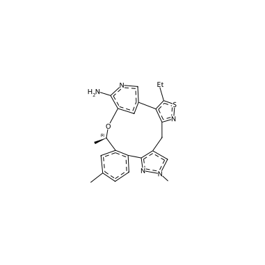 CCc1snc2c1-c1cnc(N)c(c1)O[C@H](C)c1cc(C)ccc1-c1nn(C)cc1C2